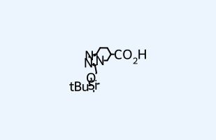 CC(C)(C)[Si](C)(C)OCc1nnc2n1CC(C(=O)O)CC2